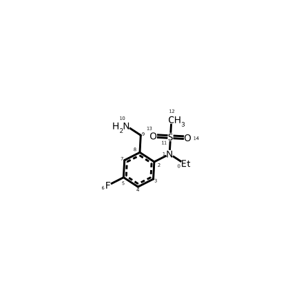 CCN(c1ccc(F)cc1CN)S(C)(=O)=O